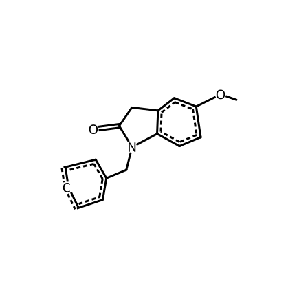 COc1ccc2c(c1)CC(=O)N2Cc1ccccc1